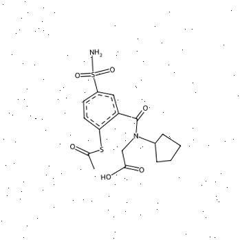 CC(=O)Sc1ccc(S(N)(=O)=O)cc1C(=O)N(CC(=O)O)C1CCCC1